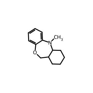 CN1c2ccccc2OCC2CCCCC21